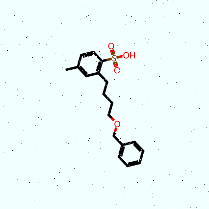 Cc1ccc(S(=O)(=O)O)c(CCCCOCc2ccccc2)c1